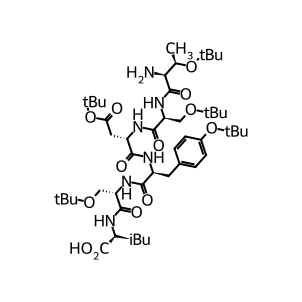 CC[C@H](C)[C@H](NC(=O)[C@H](COC(C)(C)C)NC(=O)[C@H](Cc1ccc(OC(C)(C)C)cc1)NC(=O)[C@H](CC(=O)OC(C)(C)C)NC(=O)[C@H](COC(C)(C)C)NC(=O)[C@@H](N)[C@@H](C)OC(C)(C)C)C(=O)O